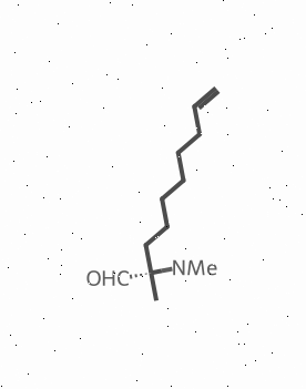 C=CCCCCCC[C@@](C)(C=O)NC